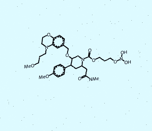 CNC(=O)CC1CC(c2ccc(OC)cc2)C(OCc2ccc3c(c2)N(CCCOC)CCO3)CN1C(=O)OCCCON(O)O